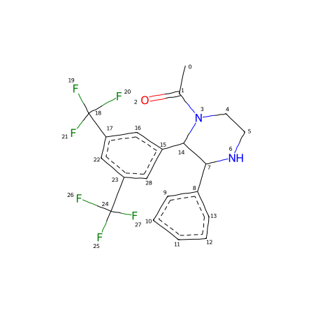 CC(=O)N1CCNC(c2ccccc2)C1c1cc(C(F)(F)F)cc(C(F)(F)F)c1